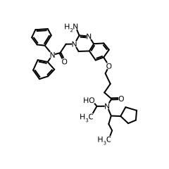 CCCC(C1CCCC1)N(C(=O)CCCOc1ccc2c(c1)CN(CC(=O)N(c1ccccc1)c1ccccc1)C(N)=N2)C(C)O